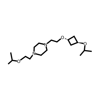 CC(C)OCCN1CCN(CCO[C@H]2C[C@H](OC(C)C)C2)CC1